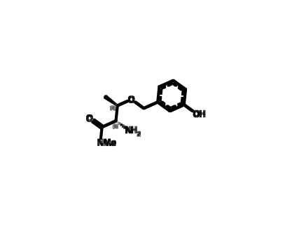 CNC(=O)[C@@H](N)[C@@H](C)OCc1cccc(O)c1